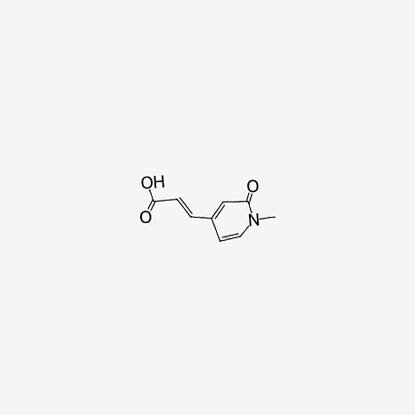 Cn1ccc(/C=C/C(=O)O)cc1=O